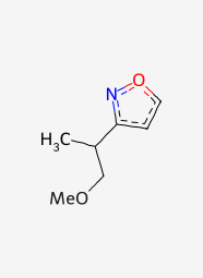 COCC(C)c1ccon1